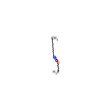 C=CCCCCCCCOc1ccc(N2CCN(CCCCCCCCCCCCCCCCCC)CC2)cc1